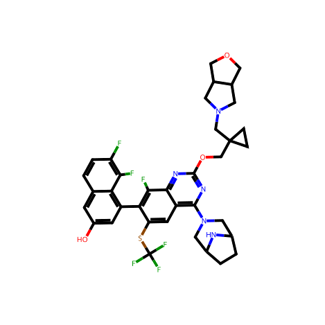 Oc1cc(-c2c(SC(F)(F)F)cc3c(N4CC5CCC(C4)N5)nc(OCC4(CN5CC6COCC6C5)CC4)nc3c2F)c2c(F)c(F)ccc2c1